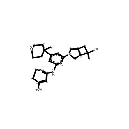 CC1(c2cc(NC3=NCCC(C#N)=C3)nc(N3CC4CC(C)(F)C4C3)c2)CCOCC1